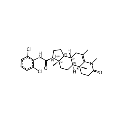 CC1=C2N(C)C(=O)CC[C@]2(C)[C@H]2CC[C@]3(C)[C@@H](C(=O)Nc4c(Cl)cccc4Cl)CC[C@H]3[C@@H]2C1